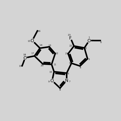 COc1ccc(-c2ncoc2-c2ccc(OC)c(OC)c2)cc1F